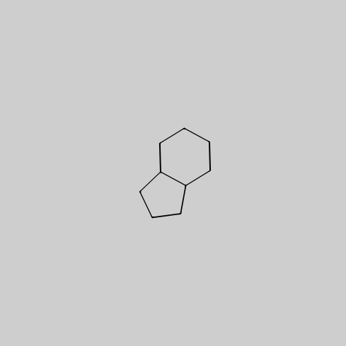 [C]1CCC2CCCCC12